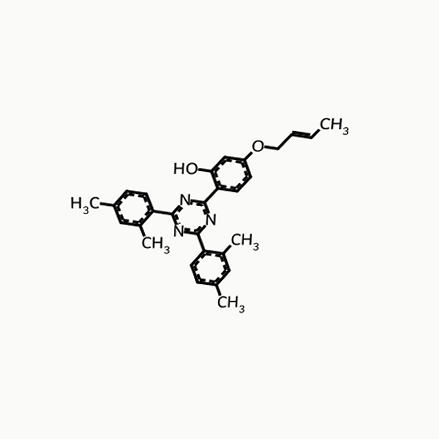 CC=CCOc1ccc(-c2nc(-c3ccc(C)cc3C)nc(-c3ccc(C)cc3C)n2)c(O)c1